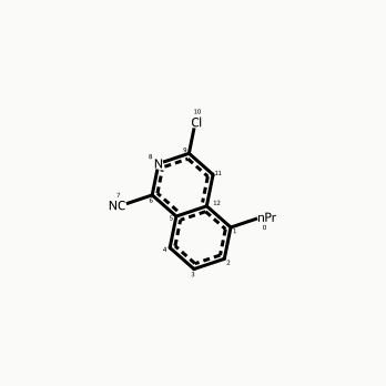 CCCc1cccc2c(C#N)nc(Cl)cc12